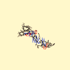 CC#CCn1c(N2CCC[C@@H](NC(=O)OC(C)(C)C)C2)nc2cnn(Cc3c4ccccc4c4ccccc4[n+]3[O-])c(=O)c21